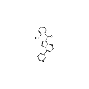 Cc1cccnc1C(=O)c1cnn2c(-c3cccnc3)ccnc12